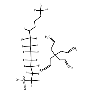 C=CC[N+](CC=C)(CC=C)CC=C.O=S(=O)([O-])C(F)(F)C(F)(F)C(F)(F)C(F)(F)C(F)(F)C(F)(F)C(F)(F)C(F)CCCC(F)(F)F